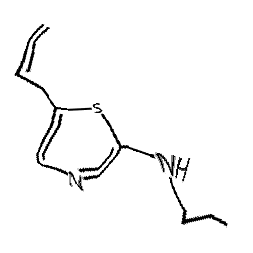 C=Cc1cnc(NCC)s1